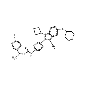 CC(OC(=O)Nc1ccc(-c2c(C#N)c3cc(OC4CCOCC4)ccc3n2C2CCC2)cc1)c1ccc(F)cc1